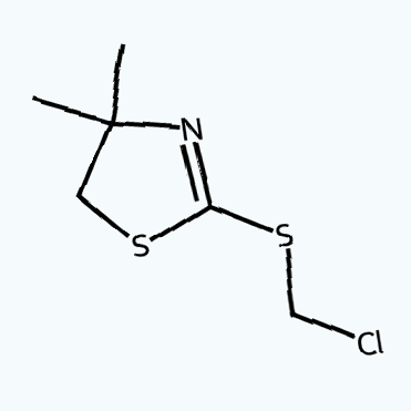 CC1(C)CSC(SCCl)=N1